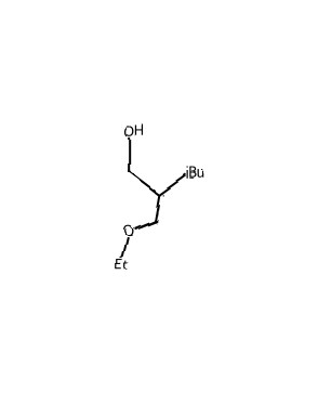 CCOC[C](CO)C(C)CC